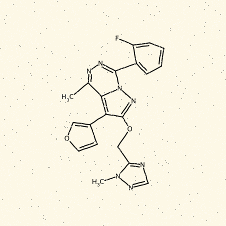 Cc1nnc(-c2ccccc2F)n2nc(OCc3ncnn3C)c(-c3ccoc3)c12